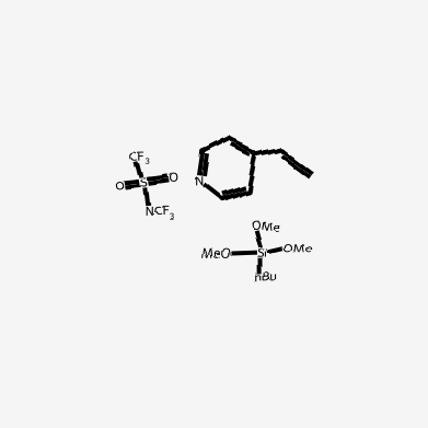 C=Cc1ccncc1.CCCC[Si](OC)(OC)OC.O=S(=O)(NC(F)(F)F)C(F)(F)F